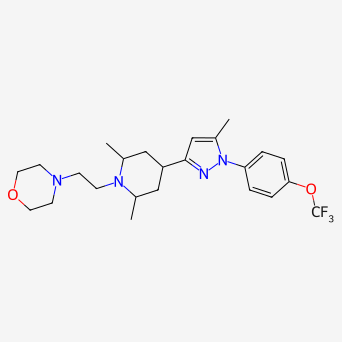 Cc1cc(C2CC(C)N(CCN3CCOCC3)C(C)C2)nn1-c1ccc(OC(F)(F)F)cc1